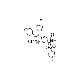 Cc1ccc(S(=O)(=O)n2[nH]c(=O)c3cc4c(-c5ccc(F)cc5)c(C5CCOCC5)c(Cl)nc4cc32)cc1